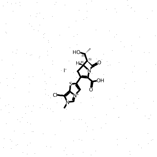 C[C@@H](O)[C@H]1C(=O)N2C(C(=O)O)=C(c3c[n+]4cn(C)c(Cl)c4s3)C[C@H]12.[I-]